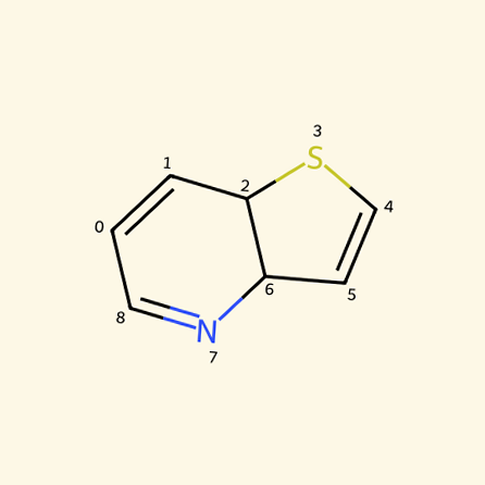 C1=CC2SC=CC2N=C1